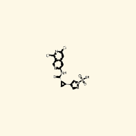 CCS(=O)(=O)n1cc([C@H]2C[C@@H]2C(=O)Nc2cc3cc(Cl)nc(Cl)c3cn2)cn1